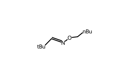 CCCCCON=CC(C)(C)C